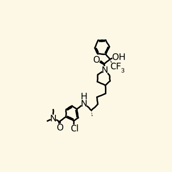 C[C@@H](CCCC1CCN(C(=O)[C@](O)(c2ccccc2)C(F)(F)F)CC1)Nc1ccc(C(=O)N(C)C)c(Cl)c1